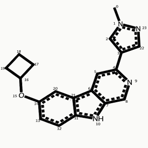 Cn1cc(-c2cc3c(cn2)[nH]c2ccc(OC4CCC4)cc23)cn1